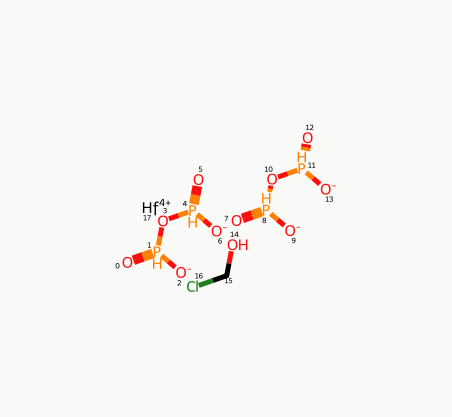 O=[PH]([O-])O[PH](=O)[O-].O=[PH]([O-])O[PH](=O)[O-].OCCl.[Hf+4]